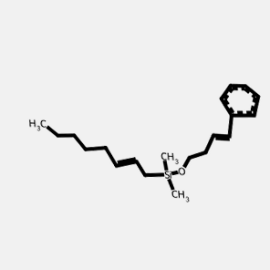 CCCCCC=CC[Si](C)(C)OCCC=Cc1ccccc1